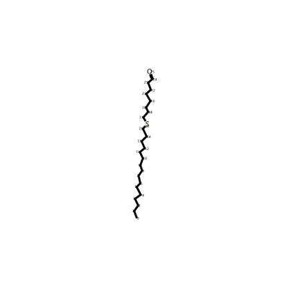 CCCCCCCCCCCCCCCCSCCCCCCC[C]=O